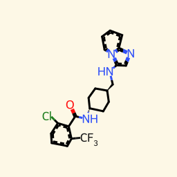 O=C(N[C@H]1CC[C@H](CNc2cnc3ccccn23)CC1)c1c(Cl)cccc1C(F)(F)F